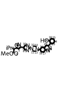 COC(=O)C(c1cc(-c2cnc(N3CCN(c4ccc5nnc(-c6ccccc6O)cc5c4)CC3)nc2)no1)C(C)C